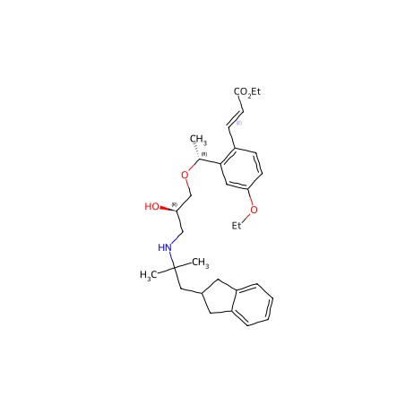 CCOC(=O)/C=C/c1ccc(OCC)cc1[C@@H](C)OC[C@H](O)CNC(C)(C)CC1Cc2ccccc2C1